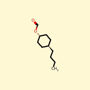 CCCC[C@H]1CC[C@H](O[C]=O)CC1